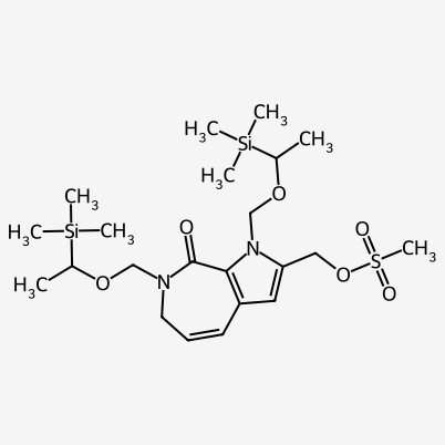 CC(OCN1CC=Cc2cc(COS(C)(=O)=O)n(COC(C)[Si](C)(C)C)c2C1=O)[Si](C)(C)C